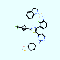 CS(=O)(=O)[C@H]1CC[C@H](Nc2nccc(-c3sc(C45CC(C(F)(F)F)(C4)C5)nc3-c3cccc(NS(=O)(=O)N4CCc5ccccc54)c3F)n2)CC1